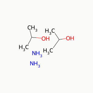 CC(C)O.CC(C)O.N.N